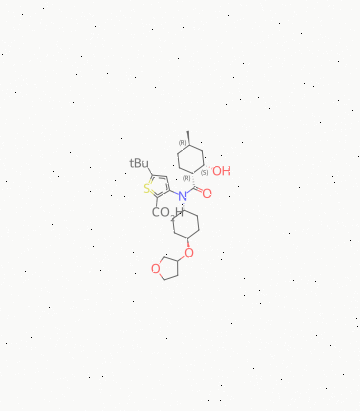 C[C@@H]1CC[C@@H](C(=O)N(c2cc(C(C)(C)C)sc2C(=O)O)[C@H]2CC[C@H](OC3CCOC3)CC2)[C@@H](O)C1